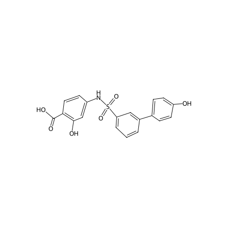 O=C(O)c1ccc(NS(=O)(=O)c2cccc(-c3ccc(O)cc3)c2)cc1O